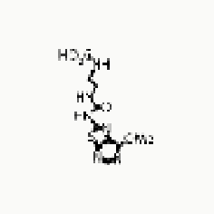 COc1ncnc2sc(NC(=O)NCCNC(=O)O)nc12